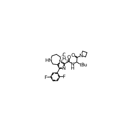 C[C@H]1CCNCc2c(-c3cc(F)ccc3F)nc(C(=O)NC(C(=O)N3CCC3)C(C)(C)C)n21